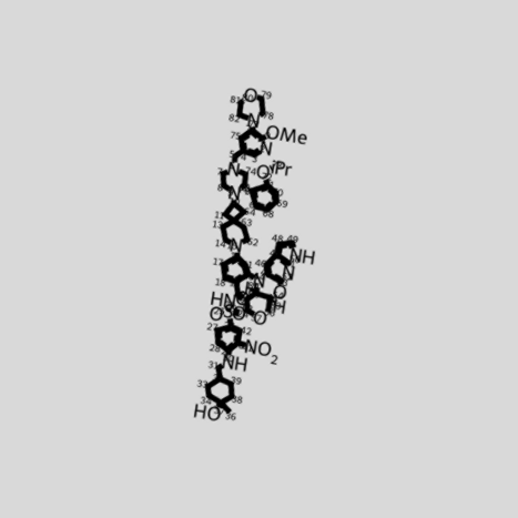 COc1ncc(CN2CCN(C3CC4(CCN(c5ccc(C(=O)NS(=O)(=O)c6ccc(NCC7CCC(C)(O)CC7)c([N+](=O)[O-])c6)c(N6c7cc8cc[nH]c8nc7O[C@H]7COCC[C@@H]76)c5)CC4)C3)[C@@H](c3ccccc3OC(C)C)C2)cc1N1CCOCC1